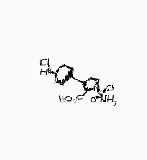 NS(=O)(=O)n1ccc(-c2ccc(NCl)nc2)c1C(=O)O